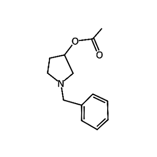 CC(=O)OC1CCN(Cc2ccccc2)C1